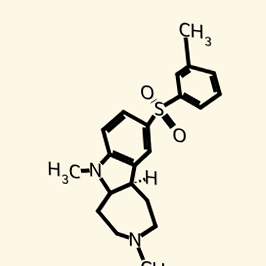 Cc1cccc(S(=O)(=O)c2ccc3c(c2)[C@H]2CCN(C)CCC2N3C)c1